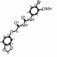 COc1cc(NC(=O)NC(=O)COc2ccc3c(c2)OCO3)ccc1Br